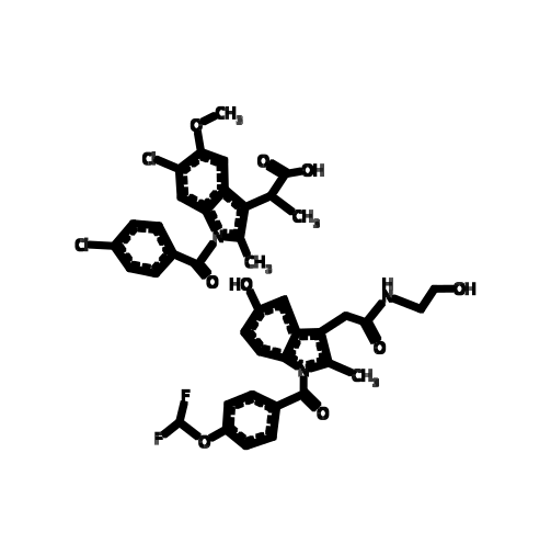 COc1cc2c(C(C)C(=O)O)c(C)n(C(=O)c3ccc(Cl)cc3)c2cc1Cl.Cc1c(CC(=O)NCCO)c2cc(O)ccc2n1C(=O)c1ccc(OC(F)F)cc1